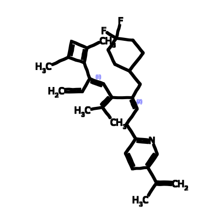 C=C/C(=C\C(=C(C)C)/C(=C\Cc1ccc(C(=C)C)cn1)CC1CCC(F)(F)CC1)C1=C(C)C=C1C